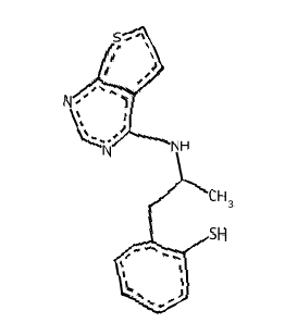 CC(Cc1ccccc1S)Nc1ncnc2sccc12